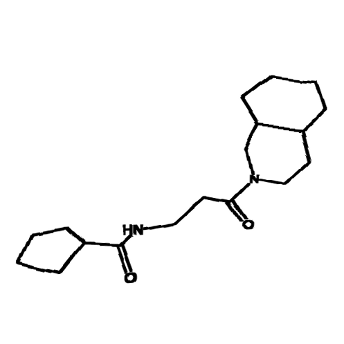 O=C(NCCC(=O)N1CCC2CCCCC2C1)C1CCCC1